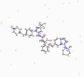 C[C@H]1CCCCN1c1nnc2ccc(O[C@@H]3CC[C@H](NC(=O)Nc4cc(C(C)(C)C)nn4-c4ccc(CN5CCN(C)CC5)cc4)c4ccccc43)cn12